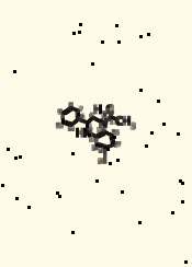 CC(C)N1CC(c2ccccc2)Nc2cc(I)ccc21